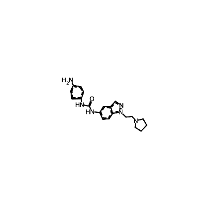 Nc1ccc(NC(=O)Nc2ccc3c(cnn3CCN3CCCC3)c2)cc1